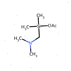 CC(=O)O[Si](C)(C)CN(C)C